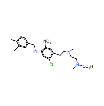 Cc1ccc(CNc2cc(Cl)c(CCN(C)CCN(C)C(=O)O)cc2[N+](=O)[O-])cc1C